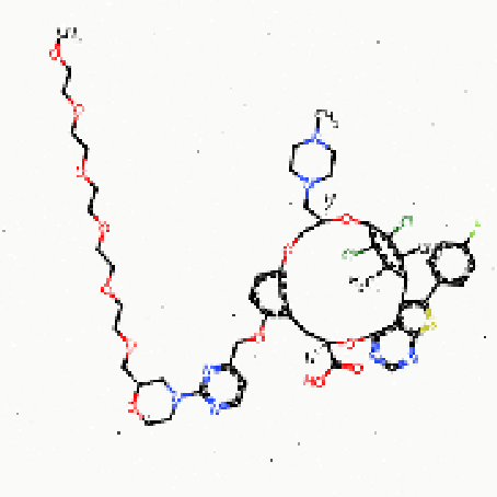 COCCOCCOCCOCCOCCOC[C@H]1CN(c2nccc(COc3ccc4cc3C[C@H](C(=O)O)Oc3ncnc5sc(-c6ccc(F)cc6)c(c35)-c3c(C)c(Cl)c(c(Cl)c3C)O[C@H](CN3CCN(C)CC3)CO4)n2)CCO1